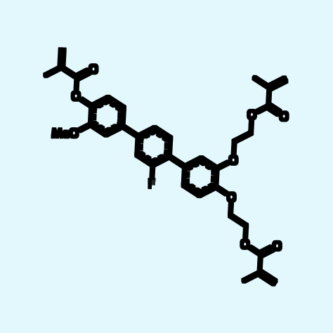 C=C(C)C(=O)OCCOc1ccc(-c2ccc(-c3ccc(OC(=O)C(=C)C)c(OC)c3)cc2F)cc1OCCOC(=O)C(=C)C